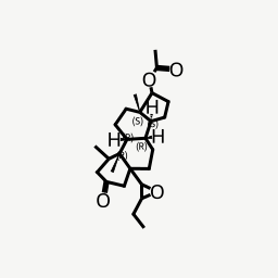 CCC1OC1C12CC[C@@H]3[C@@H](CC[C@]4(C)C(OC(C)=O)CC[C@@H]34)[C@@]1(C)C(C)CC(=O)C2